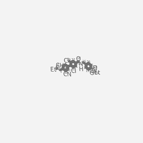 CCN(C)Cc1ccc(-c2c(Cl)cc(C(=O)NCc3ccc(S(=O)(=O)CC)cc3)cc2Cl)cc1C#N